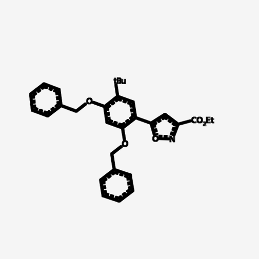 CCOC(=O)c1cc(-c2cc(C(C)(C)C)c(OCc3ccccc3)cc2OCc2ccccc2)on1